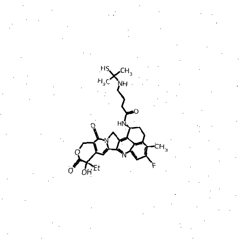 CC[C@@]1(O)C(=O)OCc2c1cc1n(c2=O)Cc2c-1nc1cc(F)c(C)c3c1c2[C@@H](NC(=O)CCCNC(C)(C)S)CC3